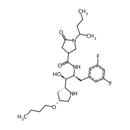 CCCCO[C@H]1CN[C@@H]([C@@H](O)[C@H](Cc2cc(F)cc(F)c2)NC(=O)C2CC(=O)N(C(C)CCC)C2)C1